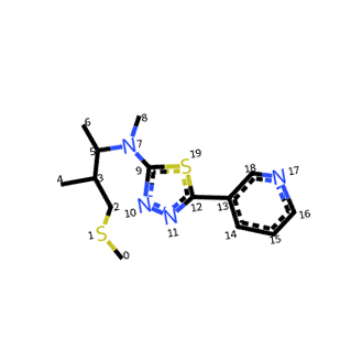 CSCC(C)C(C)N(C)c1nnc(-c2cccnc2)s1